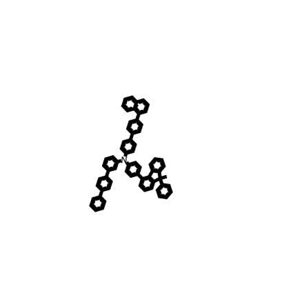 CC1(c2ccccc2)c2ccccc2-c2c(-c3ccc(N(c4ccc(-c5ccc(-c6cccc7ccccc67)cc5)cc4)c4cccc(-c5ccc(-c6ccccc6)cc5)c4)cc3)cccc21